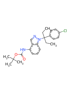 CCC(CC)(c1ccc(Cl)cc1)n1ncc2c(NC(=O)OC(C)(C)C)cccc21